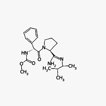 COC(=O)N[C@@H](C(=O)N1CCC[C@H]1/C(N)=N/C(C)C(C)C)c1ccccc1